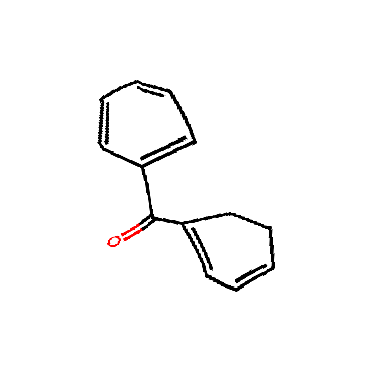 O=C(C1=CC=CCC1)c1ccccc1